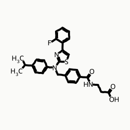 CC(C)c1ccc(N(Cc2ccc(C(=O)NCCC(=O)O)cc2)c2nc(-c3ccccc3F)cs2)cc1